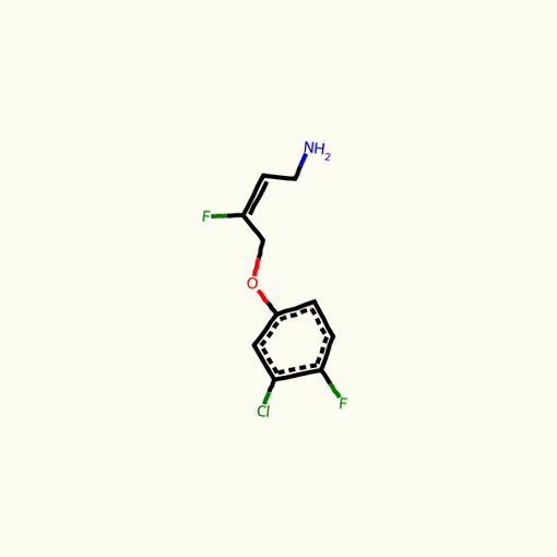 NC/C=C(/F)COc1ccc(F)c(Cl)c1